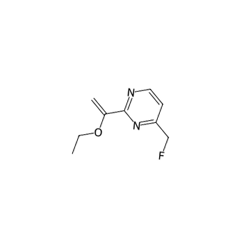 C=C(OCC)c1nccc(CF)n1